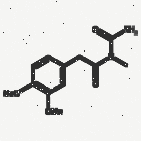 COc1ccc(CC(=O)N(C)C(N)=O)cc1OC